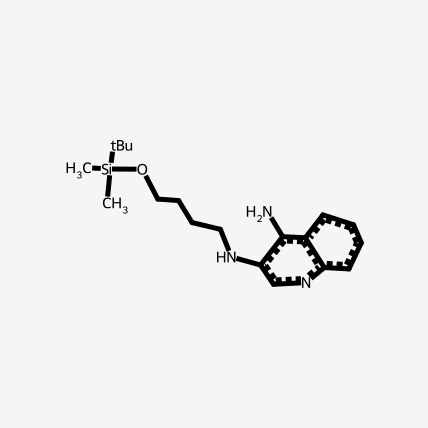 CC(C)(C)[Si](C)(C)OCCCCNc1cnc2ccccc2c1N